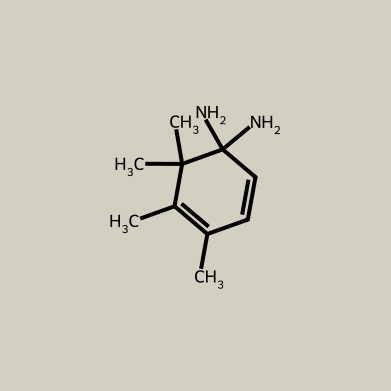 CC1=C(C)C(C)(C)C(N)(N)C=C1